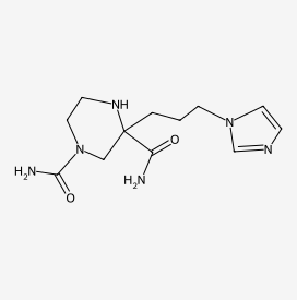 NC(=O)N1CCNC(CCCn2ccnc2)(C(N)=O)C1